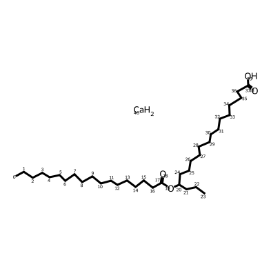 CCCCCCCCCCCCCCCCCC(=O)OC(CCC)CCCCCCCCCCCCCC(=O)O.[CaH2]